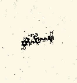 COc1ccc2nccc(C(F)CC[C@@H]3CCN(CCCSc4c[nH]nc4C)C[C@@H]3CC(=O)O)c2c1